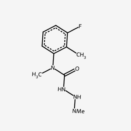 CNNNC(=O)N(C)c1cccc(F)c1C